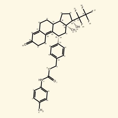 Cc1ccc(NC(=O)OCc2ccc([C@H]3C[C@@]4(C)C(CC[C@@]4(O)C(F)(F)C(F)(F)F)C4CCC5=CC(=O)CCC5=C43)cc2)cc1